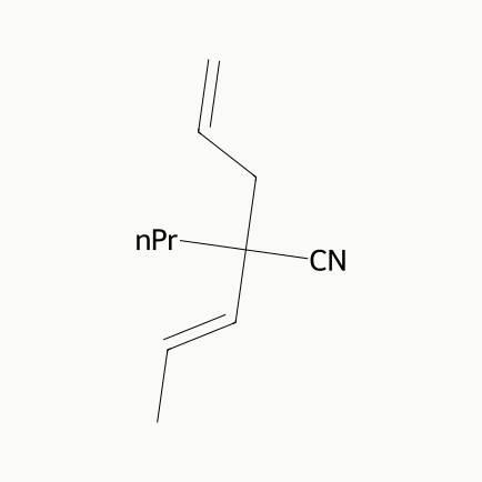 C=CCC(C#N)(C=CC)CCC